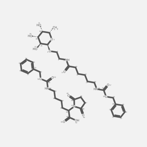 C[C@@H]1O[C@@H](OCCNC(=O)CCCCCNC(=O)OCc2ccccc2)[C@@H](O)[C@H](O)[C@@H]1O.O=C(NCCCCC(C(=O)O)N1C(=O)CCC1=O)OCc1ccccc1